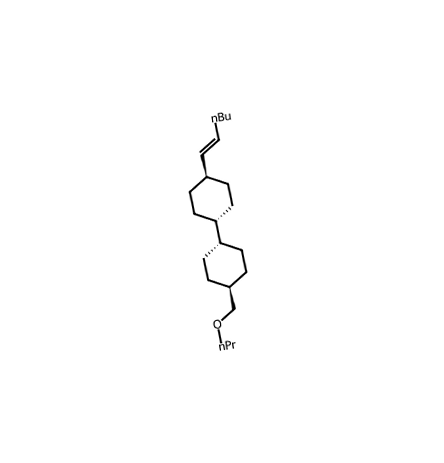 CCCCC=C[C@H]1CC[C@H]([C@H]2CC[C@H](COCCC)CC2)CC1